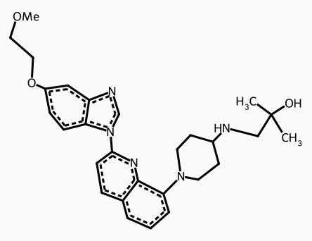 COCCOc1ccc2c(c1)ncn2-c1ccc2cccc(N3CCC(NCC(C)(C)O)CC3)c2n1